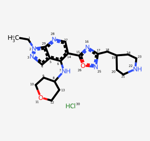 CCn1ncc2c(NC3CCOCC3)c(-c3nc(CC4CCNCC4)no3)cnc21.Cl